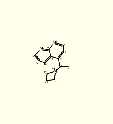 CC(c1ccnc2ncccc12)N1[CH]CC1